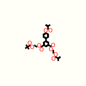 C=C(C)C(=O)OCCOC(=O)c1cc(C(=O)OCCOC(=O)C(C)(C)C)cc(-c2ccc(OC(=O)C(=C)C)cc2)c1